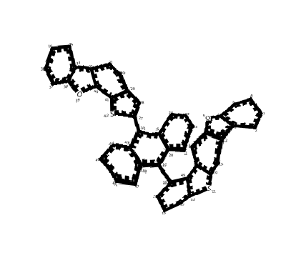 c1ccc2c(c1)oc1cc3c(cc12)sc1cccc(-c2c4ccccc4c(-c4cc5ccc6c7ccccc7oc6c5s4)c4ccccc24)c13